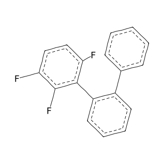 Fc1ccc(F)c(-c2ccccc2-c2ccccc2)c1F